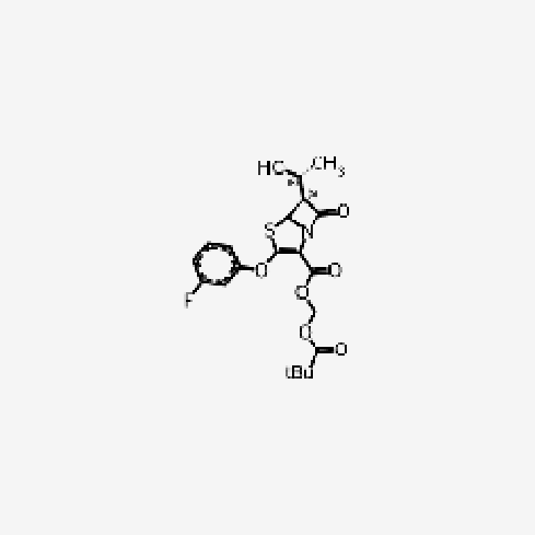 C[C@@H](O)[C@H]1C(=O)N2C(C(=O)OCOC(=O)C(C)(C)C)=C(Oc3cccc(F)c3)SC12